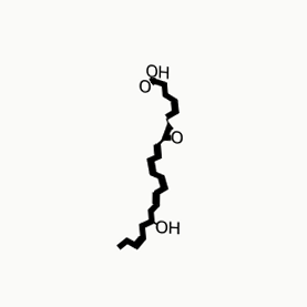 CC/C=C\C[C@@H](O)C/C=C/C=C\C=C/C=C/[C@@H]1O[C@H]1C/C=C\CCC(=O)O